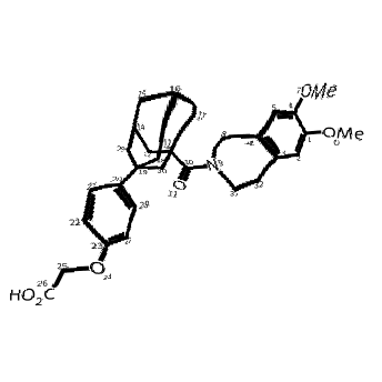 COc1cc2c(cc1OC)CN(C(=O)C13CC4CC(C1)CC(c1ccc(OCC(=O)O)cc1)(C4)C3)CC2